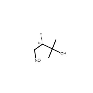 C[C@@H](CN=O)C(C)(C)O